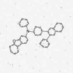 c1ccc(-c2cc3ccccc3cc2-c2ccc(N(c3ccccc3)c3ccc4c(c3)oc3ccccc34)cc2)cc1